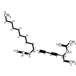 C=C[C@@H](C#CC#C[C@@H](CCCCCCCCC)N=C=S)OC(C)=O